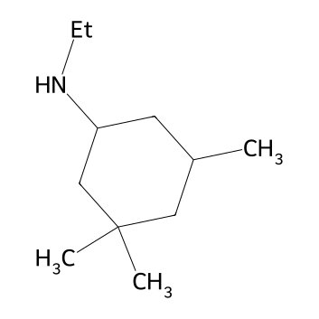 CCNC1CC(C)CC(C)(C)C1